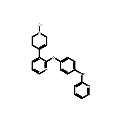 CC(=O)N1CC=C(c2cccnc2Oc2ccc(Nc3ccccn3)cc2)CC1